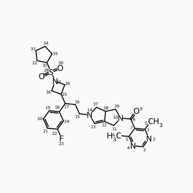 Cc1ncnc(C)c1C(=O)N1CC2=CN(CCC(c3cccc(F)c3)C3CN(S(=O)(=O)C4CCCC4)C3)CC2C1